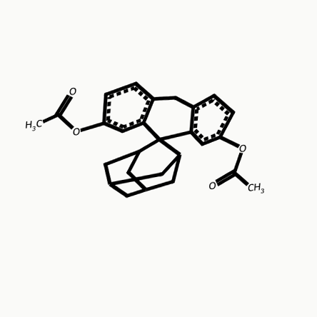 CC(=O)Oc1ccc2c(c1)C1(c3cc(OC(C)=O)ccc3C2)C2CC3CC(C2)CC1C3